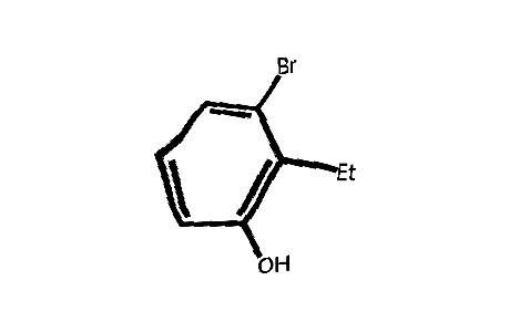 CCc1c(O)cccc1Br